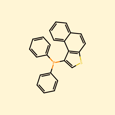 c1ccc(P(c2ccccc2)c2csc3ccc4ccccc4c23)cc1